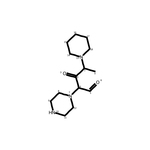 CC(C(=O)C([C]=O)N1CCNCC1)N1CCCCC1